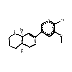 COc1cc(C2=C[C@@H]3NCCC[C@@H]3CC2)cnc1Cl